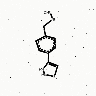 O=CNCc1ccc(C2=CSNN2)cc1